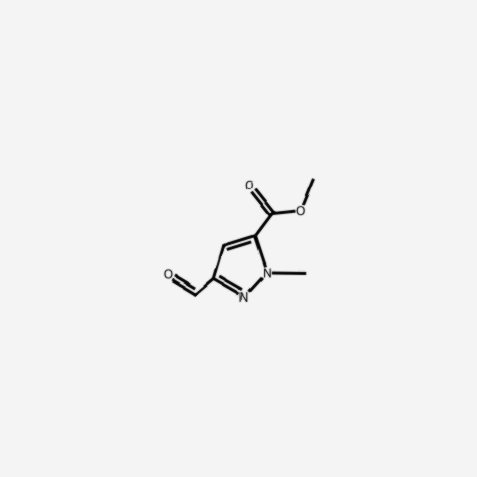 COC(=O)c1cc(C=O)nn1C